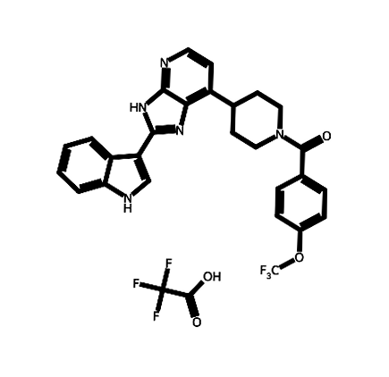 O=C(O)C(F)(F)F.O=C(c1ccc(OC(F)(F)F)cc1)N1CCC(c2ccnc3[nH]c(-c4c[nH]c5ccccc45)nc23)CC1